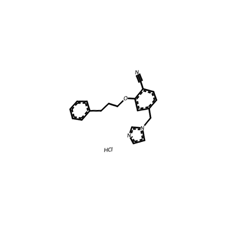 Cl.N#Cc1ccc(Cn2ccnc2)cc1OCCCc1ccccc1